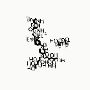 CCn1c(CNC(=O)c2nc3c(Br)c[nH]c3nc2N)[n+](CC)c2ccc(C(=O)N3CCC(N(CC(O)C(O)C(O)C(O)CO)CC(O)C(O)C(O)C(O)CO)CC3)cc21.O=C(O)C(F)(F)F.O=C([O-])C(F)(F)F